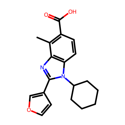 Cc1c(C(=O)O)ccc2c1nc(-c1ccoc1)n2C1CCCCC1